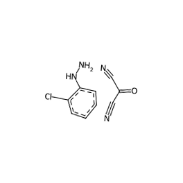 N#CC(=O)C#N.NNc1ccccc1Cl